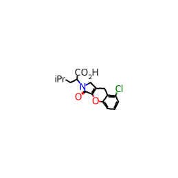 CC(C)CC(C(=O)O)N1CC2=C(Oc3cccc(Cl)c3C2)C1=O